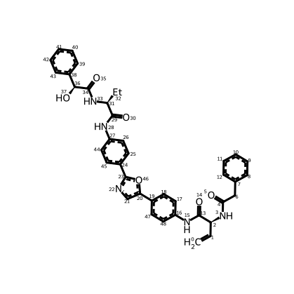 C=C[C@H](NC(=O)Cc1ccccc1)C(=O)Nc1ccc(-c2cnc(-c3ccc(NC(=O)[C@H](CC)NC(=O)[C@@H](O)c4ccccc4)cc3)o2)cc1